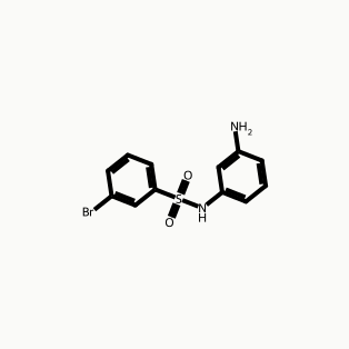 Nc1cccc(NS(=O)(=O)c2cccc(Br)c2)c1